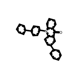 O=c1c2ccccc2n(-c2ccc(-c3ccccc3)cc2)c2ccc(-c3ccccc3)cc12